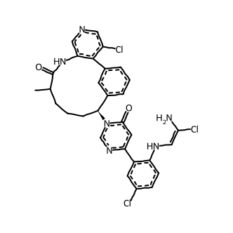 CC1CCC[C@H](n2cnc(-c3cc(Cl)ccc3N/C=C(\N)Cl)cc2=O)c2cccc(c2)-c2c(Cl)cncc2NC1=O